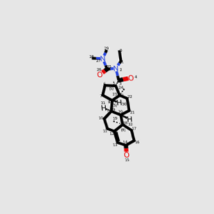 CCN(C(=O)[C@H]1CC[C@H]2[C@@H]3CCC4=CC(=O)CC[C@]4(C)[C@H]3CC[C@]12C)C(=O)N(C)C